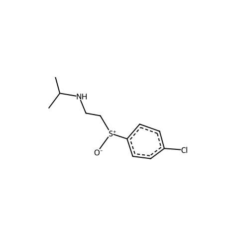 CC(C)NCC[S+]([O-])c1ccc(Cl)cc1